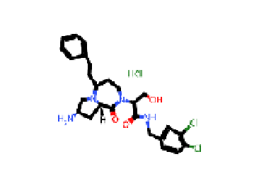 Cl.N[C@@H]1C[C@H]2C(=O)N(C(CO)C(=O)NCc3ccc(Cl)c(Cl)c3)CCC(CCc3ccccc3)N2C1